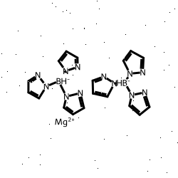 [Mg+2].c1cnn([BH-](n2cccn2)n2cccn2)c1.c1cnn([BH-](n2cccn2)n2cccn2)c1